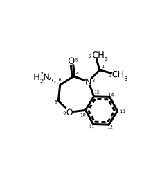 CC(C)N1C(=O)[C@@H](N)COc2ccccc21